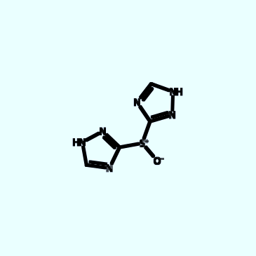 [O-][S+](c1nc[nH]n1)c1nc[nH]n1